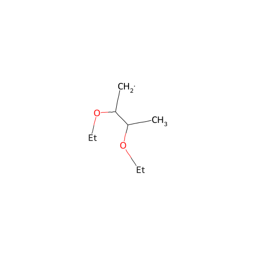 [CH2]C(OCC)C(C)OCC